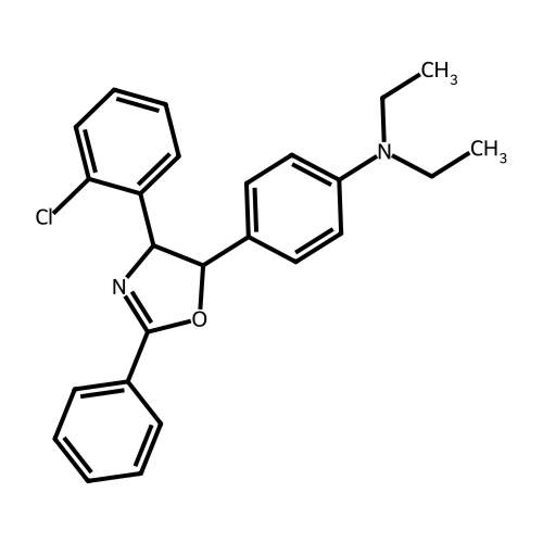 CCN(CC)c1ccc(C2OC(c3ccccc3)=NC2c2ccccc2Cl)cc1